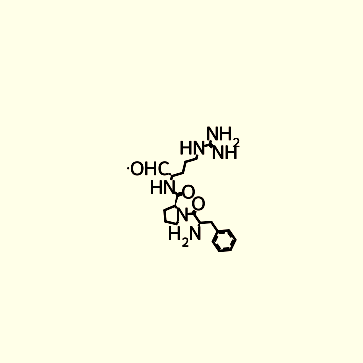 N=C(N)NCCC[C@@H]([C]=O)NC(=O)[C@@H]1CCCN1C(=O)[C@H](N)Cc1ccccc1